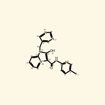 O=C(Nc1ccc(F)cn1)c1c(O)n(Cc2cncnc2)c2cccc[n+]12